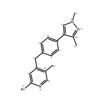 CC(=O)c1cc(Cc2ccc(-c3cn(C)nc3C)cc2)c(C)cn1